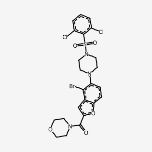 O=C(c1cc2c(Br)c(N3CCN(S(=O)(=O)c4c(Cl)cccc4Cl)CC3)ccc2o1)N1CCOCC1